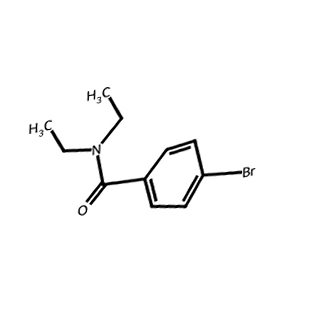 CCN(CC)C(=O)c1ccc(Br)cc1